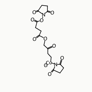 O=C(C[CH2][Co](=[O])[N]1C(=O)CCC1=O)COC(=O)CCC(=O)ON1C(=O)CCC1=O